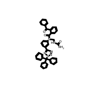 NC(=O)NCN(C(=O)c1ccccc1C(=O)c1ccccc1)c1cccc(-c2nnn(C(c3ccccc3)(c3ccccc3)c3ccccc3)n2)c1